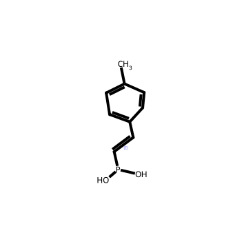 Cc1ccc(/C=C/P(O)O)cc1